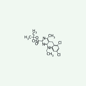 CCNc1nc(C(=O)OC(C)(C)C)nc(C)c1Cc1ccc(Cl)cc1Cl